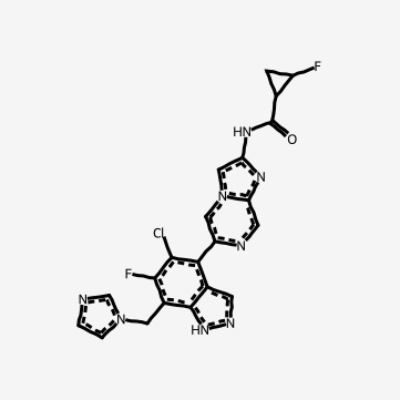 O=C(Nc1cn2cc(-c3c(Cl)c(F)c(Cn4ccnc4)c4[nH]ncc34)ncc2n1)C1CC1F